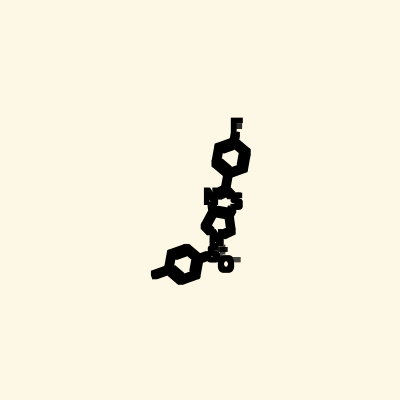 Cc1ccc([S+]([O-])N2Cc3nc(-c4ccc(F)cc4)sc3C2)cc1